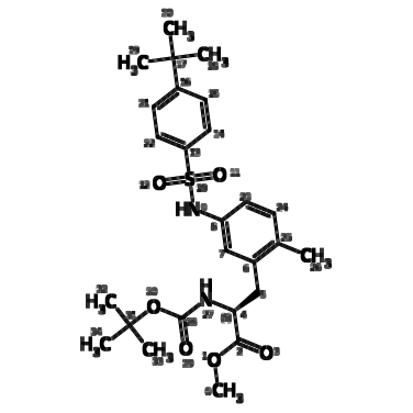 COC(=O)[C@H](Cc1cc(NS(=O)(=O)c2ccc(C(C)(C)C)cc2)ccc1C)NC(=O)OC(C)(C)C